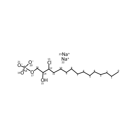 CCCCCCCCCCCCC(Cl)C(O)COP(=O)([O-])[O-].[Na+].[Na+]